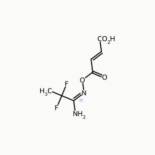 CC(F)(F)/C(N)=N\OC(=O)C=CC(=O)O